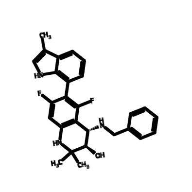 Cc1c[nH]c2c(-c3c(F)cc4c(c3F)[C@H](NCc3ccccc3)[C@@H](O)C(C)(C)N4)cccc12